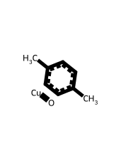 Cc1ccc(C)cc1.[O]=[Cu]